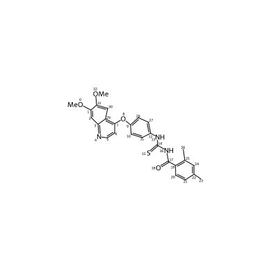 COc1cc2nccc(Oc3ccc(NC(=S)NC(=O)c4ccc(C)cc4C)cc3)c2cc1OC